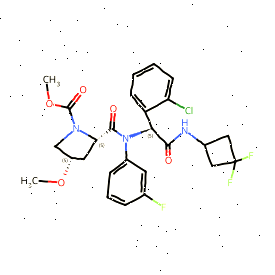 COC(=O)N1C[C@@H](OC)C[C@H]1C(=O)N(c1cccc(F)c1)[C@H](C(=O)NC1CC(F)(F)C1)c1ccccc1Cl